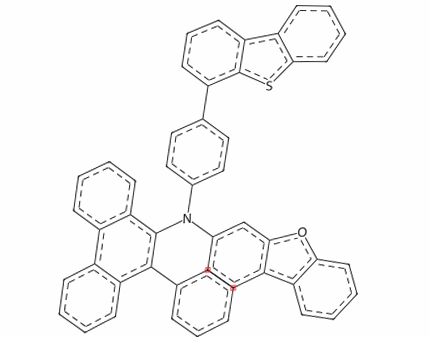 c1ccc(-c2c(N(c3ccc(-c4cccc5c4sc4ccccc45)cc3)c3ccc4c(c3)oc3ccccc34)c3ccccc3c3ccccc23)cc1